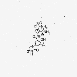 CC(C)(C)c1cc(N2CCC(=O)NC2=O)cc(C(=O)Nc2scc(C(N)S(C)(=O)=O)c2S(N)(=O)=O)c1O